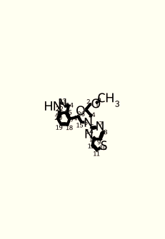 COCC1CN(c2ncc3sccc3n2)CC(c2cccc3[nH]ncc23)O1